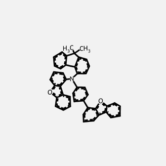 CC1(C)c2ccccc2-c2c(N(c3ccc(-c4cccc5c4oc4ccccc45)cc3)c3cccc4oc5ccccc5c34)cccc21